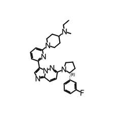 CCN(C)C1CCN(c2cccc(-c3cnc4ccc(N5CCC[C@@H]5c5cccc(F)c5)nn34)n2)CC1